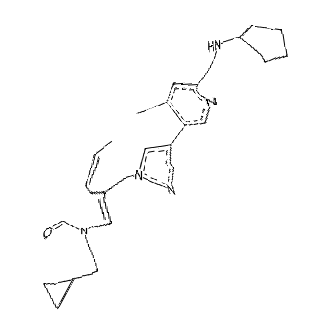 C/C=C\C(=C/N(C=O)CC1CC1)n1cc(-c2cnc(NC3CCCC3)cc2C)cn1